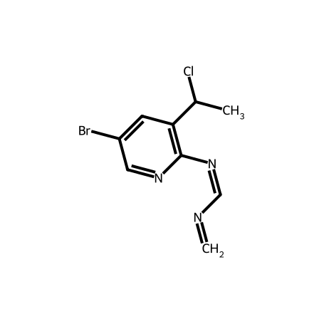 C=N/C=N\c1ncc(Br)cc1C(C)Cl